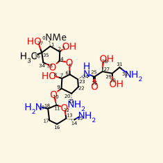 CN[C@@H]1C(O)[C@@H](OC2C(O)C(O[C@H]3O[C@H](CN)CCC3N)[C@@H](N)C[C@H]2NC(=O)[C@@H](O)C(O)CN)OCC1(C)O